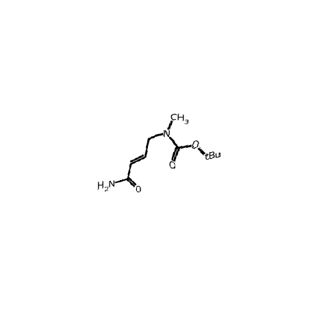 CN(C/C=C/C(N)=O)C(=O)OC(C)(C)C